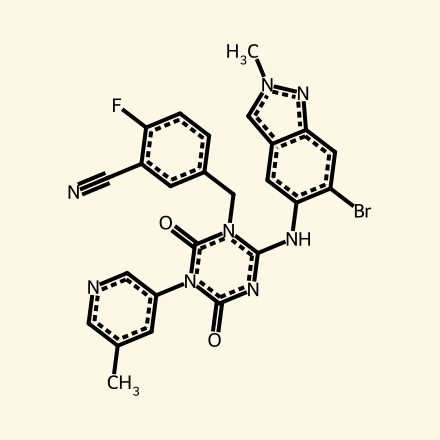 Cc1cncc(-n2c(=O)nc(Nc3cc4cn(C)nc4cc3Br)n(Cc3ccc(F)c(C#N)c3)c2=O)c1